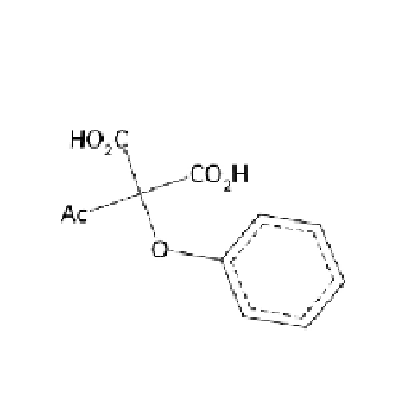 CC(=O)C(Oc1ccccc1)(C(=O)O)C(=O)O